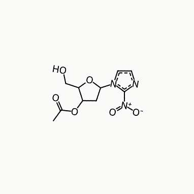 CC(=O)OC1CC(n2ccnc2[N+](=O)[O-])OC1CO